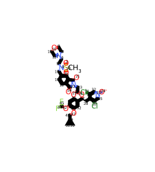 CS(=O)(=O)N(CCN1CCOCC1)Cc1ccc2c(c1)C(=O)N(CC(=O)O[C@@H](Cc1c(Cl)c[n+]([O-])cc1Cl)c1ccc(OC(F)F)c(OCC3CC3)c1)C2=O